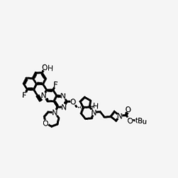 C#Cc1c(F)ccc2cc(O)cc(-c3ncc4c(N5CCCOCC5)nc(OC[C@]56CCC[C@H]5N(CCC5CN(C(=O)OC(C)(C)C)C5)CCC6)nc4c3F)c12